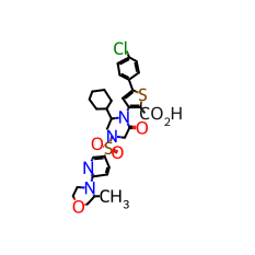 CC1COCCN1c1ccc(S(=O)(=O)N2CC(=O)N(c3cc(-c4ccc(Cl)cc4)sc3C(=O)O)C(C3CCCCC3)C2)cn1